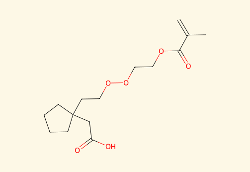 C=C(C)C(=O)OCCOOCCC1(CC(=O)O)CCCC1